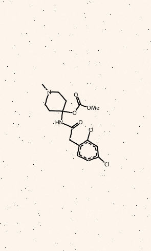 COC(=O)OC1(NC(=O)Cc2ccc(Cl)cc2Cl)CCN(C)CC1